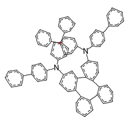 c1ccc(-c2ccc(N(c3ccc(-c4ccccc4)cc3)c3ccc4c(c3)-c3cc(N(c5ccc(-c6ccccc6)cc5)c5ccc(-c6ccccc6)cc5)ccc3-c3ccccc3-c3ccccc3-4)cc2)cc1